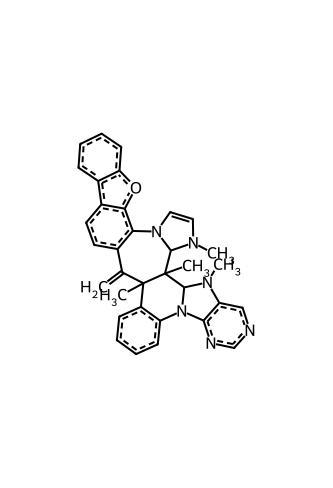 C=C1c2ccc3c(oc4ccccc43)c2N2C=CN(C)C2C2(C)C3N(C)c4cncnc4N3c3ccccc3C12C